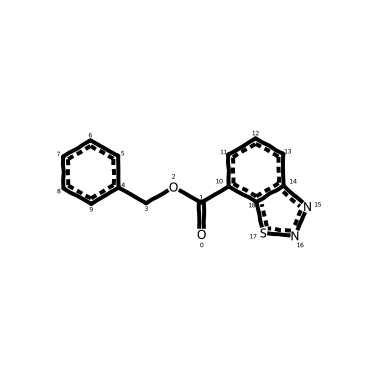 O=C(OCc1ccccc1)c1cccc2nnsc12